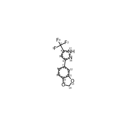 FC(F)(F)c1cc(-c2ccc3c(c2)OCO3)n[nH]1